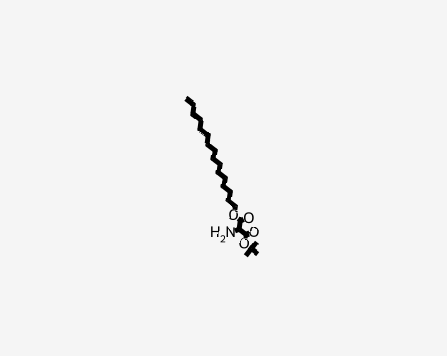 CCCCCCCCCCCCCCCCOC(=O)C(N)C(=O)OC(C)(C)C